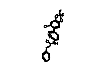 O=C(CCc1ccccc1)Nc1ccc(-c2cc3c(cc2Cl)OC(F)(F)O3)cn1